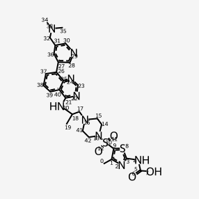 Cc1nc(NC(=O)O)sc1S(=O)(=O)N1CCN(CC(C)Nc2ncnc3c(-c4cncc(CN(C)C)c4)cccc23)CC1